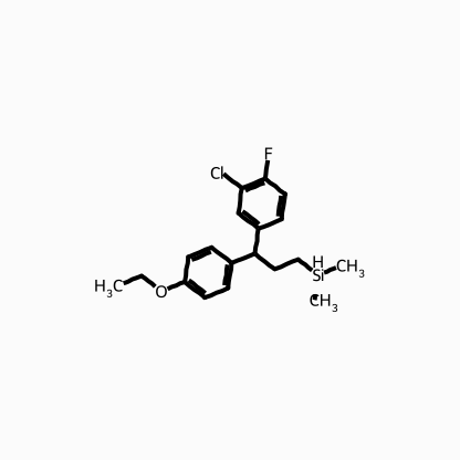 CCOc1ccc(C(CC[SiH](C)C)c2ccc(F)c(Cl)c2)cc1